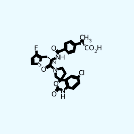 CN(C(=O)O)c1ccc(C(=O)N[C@@H](Cc2sccc2F)C(=O)N2CCC3(C2)OC(=O)Nc2ccc(Cl)cc23)cc1